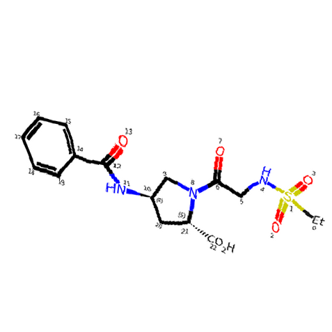 CCS(=O)(=O)NCC(=O)N1C[C@H](NC(=O)c2ccccc2)C[C@H]1C(=O)O